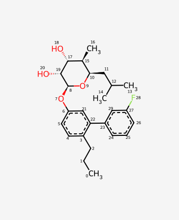 CCCc1ccc(O[C@@H]2O[C@H](CC(C)C)[C@H](C)[C@@H](O)[C@H]2O)cc1-c1cccc(F)c1